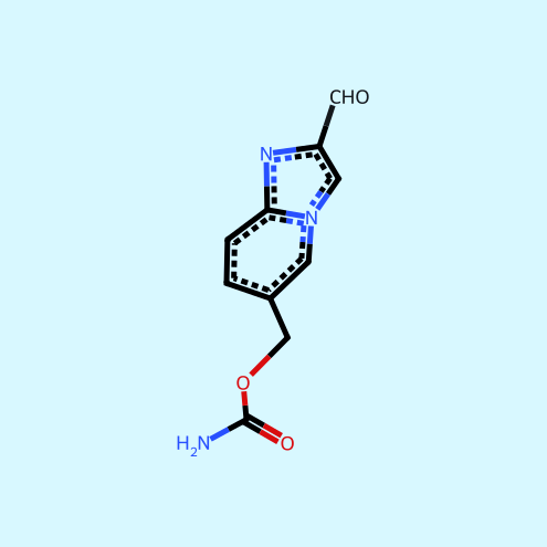 NC(=O)OCc1ccc2nc(C=O)cn2c1